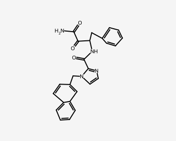 NC(=O)C(=O)C(Cc1ccccc1)NC(=O)c1nccn1Cc1ccc2ccccc2c1